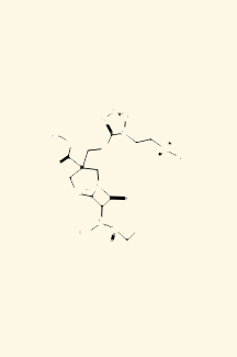 CC(=O)N(C1C(=O)N2CC(CSc3nnnn3CCS(N)(=O)=O)(C(=O)OC(C)(C)C)CS[C@H]12)S(=O)(=O)CC(F)(F)F